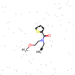 C#CCN(CCOC)C(=O)c1cccs1